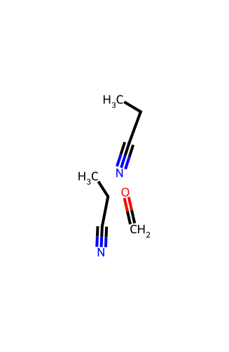 C=O.CCC#N.CCC#N